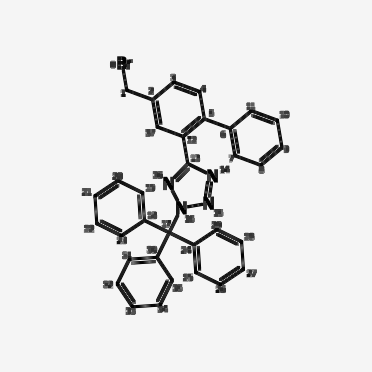 BrCc1ccc(-c2ccccc2)c(-c2nnn(C(c3ccccc3)(c3ccccc3)c3ccccc3)n2)c1